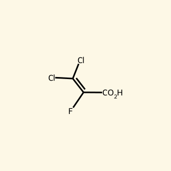 O=C(O)C(F)=C(Cl)Cl